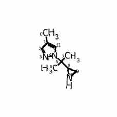 Cc1cnn(C(C)(C)C2CN2)c1